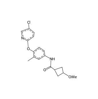 COC1CC(C(=O)Nc2ccc(Oc3ccc(Cl)cn3)c(C)c2)C1